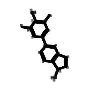 Cc1cc(-c2ccc3c(c2)C=CC3O)cc(C)c1O